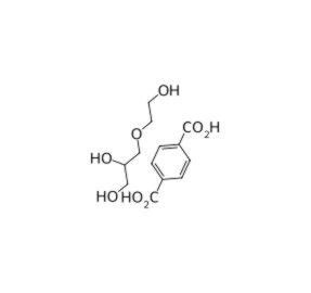 O=C(O)c1ccc(C(=O)O)cc1.OCCOCC(O)CO